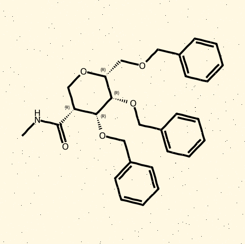 CNC(=O)[C@@H]1CO[C@H](COCc2ccccc2)[C@H](OCc2ccccc2)[C@@H]1OCc1ccccc1